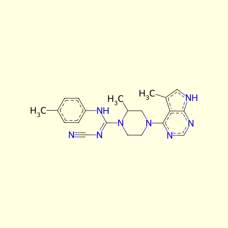 Cc1ccc(NC(=NC#N)N2CCN(c3ncnc4[nH]cc(C)c34)CC2C)cc1